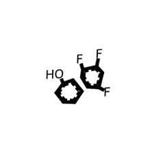 Fc1ccc(F)c(F)c1.Oc1ccccc1